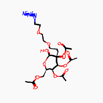 CC(=O)OC[C@H]1OC(O)[C@](CCOCCOCCN=[N+]=[N-])(OC(C)=O)[C@@H](OC(C)=O)[C@H]1OC(C)=O